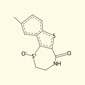 Cc1ccc2sc3c(c2c1)[S+]([O-])CCNC3=O